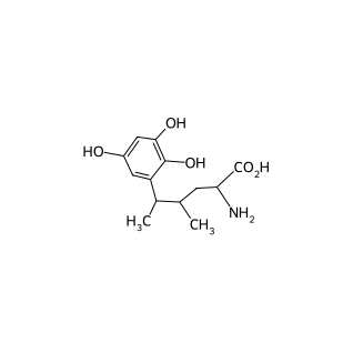 CC(CC(N)C(=O)O)C(C)c1cc(O)cc(O)c1O